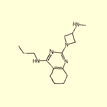 CCCNc1nc(N2CC(NC)C2)nc2c1CCCC2